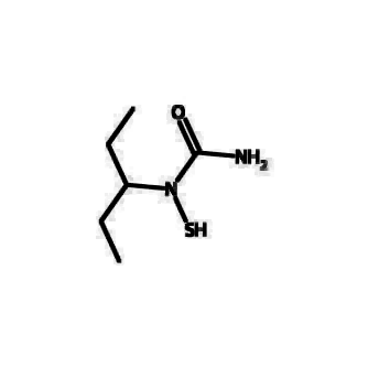 CCC(CC)N(S)C(N)=O